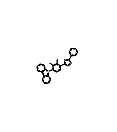 Cc1c(-c2nc(-c3ccccc3)no2)ccc(-n2c3ccccc3c3ccccc32)c1C